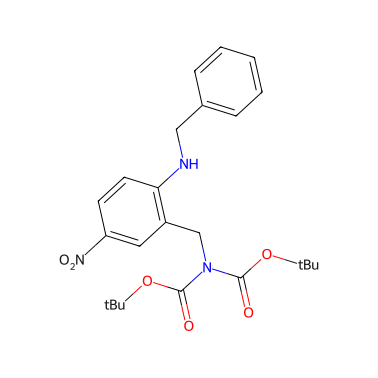 CC(C)(C)OC(=O)N(Cc1cc([N+](=O)[O-])ccc1NCc1ccccc1)C(=O)OC(C)(C)C